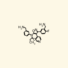 CCC(=O)N(c1cccc(CN)c1)c1onc(-c2ccc(F)c(CN)c2)c1-c1ccncc1